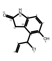 C=CC(CC)c1c(O)ccc2c1CC(=O)N2